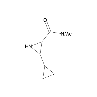 CNC(=O)C1NC1C1CC1